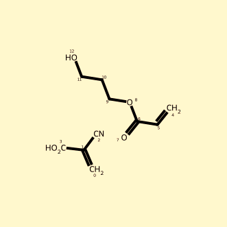 C=C(C#N)C(=O)O.C=CC(=O)OCCCO